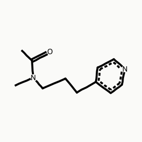 CC(=O)N(C)CCCc1ccncc1